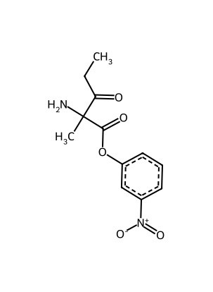 CCC(=O)C(C)(N)C(=O)Oc1cccc([N+](=O)[O-])c1